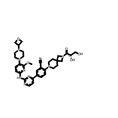 COc1nc(Nc2nccc(-c3ccc(N4CCC5(CC4)CN(C(=O)[C@@H](O)CO)C5)c(C#N)c3)n2)ccc1N1CCN(C2COC2)CC1